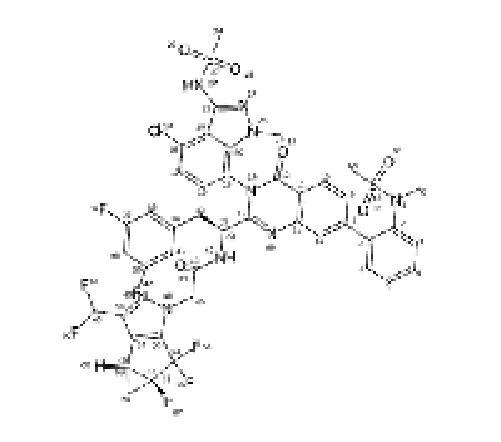 CN(c1ccccc1-c1ccc2c(=O)n(-c3ccc(Cl)c4c(NS(C)(=O)=O)nn(C)c34)c([C@H](Cc3cc(F)cc(F)c3)NC(=O)Cn3nc(C(F)F)c4c3C(F)(F)[C@@H]3C[C@H]43)nc2c1)S(C)(=O)=O